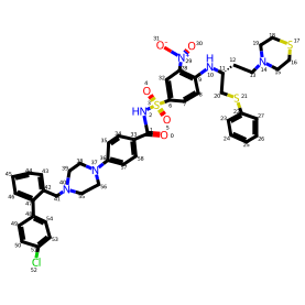 O=C(NS(=O)(=O)c1ccc(N[C@H](CCN2CCSCC2)CSc2ccccc2)c([N+](=O)[O-])c1)c1ccc(N2CCN(Cc3ccccc3-c3ccc(Cl)cc3)CC2)cc1